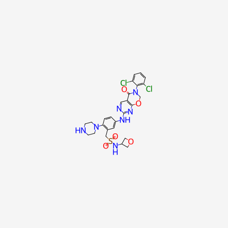 O=C1c2cnc(Nc3ccc(N4CCNCC4)c(CS(=O)(=O)NC4COC4)c3)nc2OCN1c1c(Cl)cccc1Cl